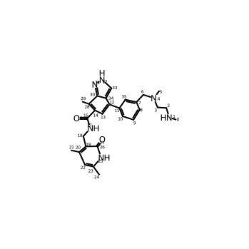 CNCCN(C)Cc1cccc(-c2cc(C(=O)NCc3c(C)cc(C)[nH]c3=O)c(C)c3n[nH]cc23)c1